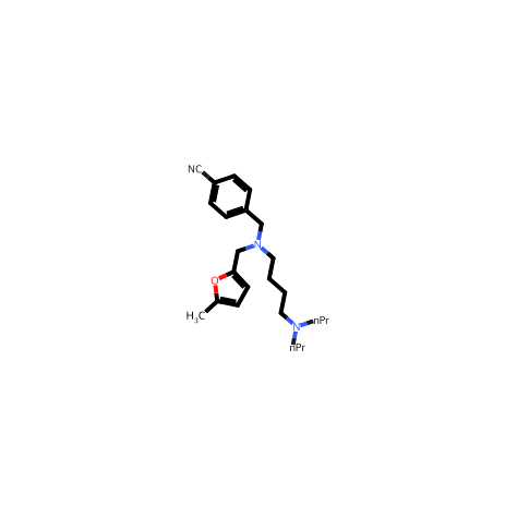 CCCN(CCC)CCCCN(Cc1ccc(C#N)cc1)Cc1ccc(C)o1